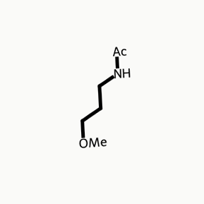 COCCCNC(C)=O